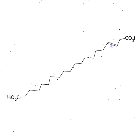 O=C(O)C/C=C/CCCCCCCCCCCCCCCC(=O)O